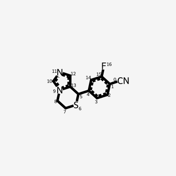 N#Cc1ccc(C2SCCn3cncc32)cc1F